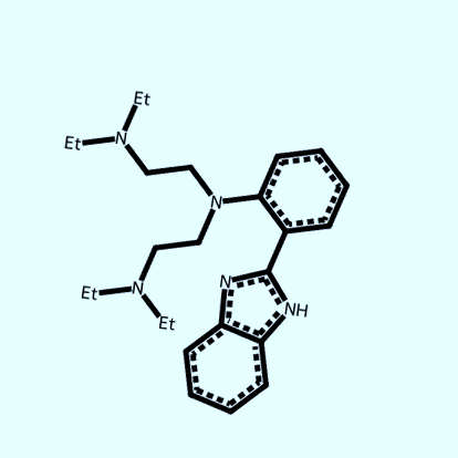 CCN(CC)CCN(CCN(CC)CC)c1ccccc1-c1nc2ccccc2[nH]1